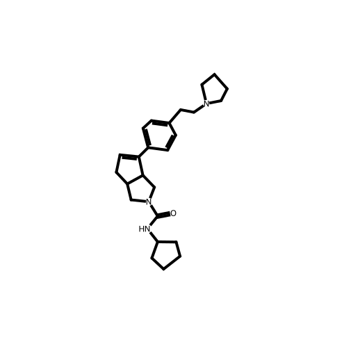 O=C(NC1CCCC1)N1CC2CC=C(c3ccc(CCN4CCCC4)cc3)C2C1